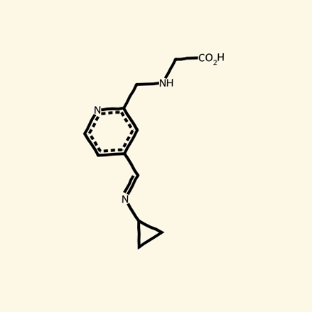 O=C(O)CNCc1cc(C=NC2CC2)ccn1